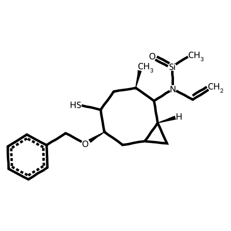 C=CN(C1[C@@H]2CC2C[C@@H](OCc2ccccc2)C(S)C[C@H]1C)[Si](C)=O